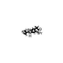 CC(C)N1C(=O)C(C)(C)c2cc3c(cc21)NC(c1ccsc1)N3